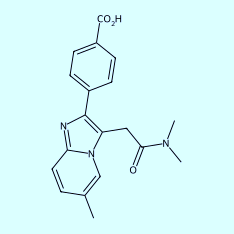 Cc1ccc2nc(-c3ccc(C(=O)O)cc3)c(CC(=O)N(C)C)n2c1